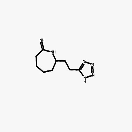 N=C1CCCCC(CCc2nnn[nH]2)N1